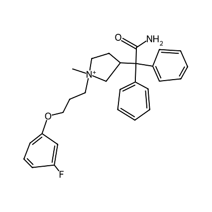 C[N+]1(CCCOc2cccc(F)c2)CCC(C(C(N)=O)(c2ccccc2)c2ccccc2)C1